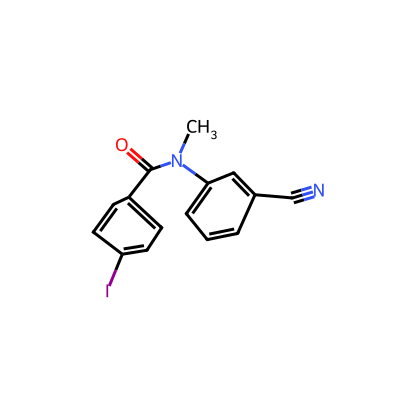 CN(C(=O)c1ccc(I)cc1)c1cccc(C#N)c1